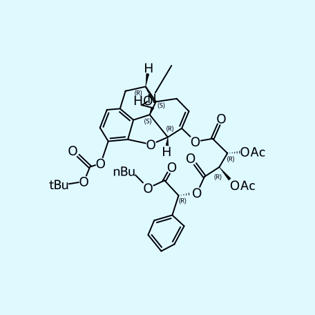 CCCCOC(=O)[C@H](OC(=O)[C@H](OC(C)=O)[C@@H](OC(C)=O)C(=O)OC1=CC[C@@]2(O)[C@H]3Cc4ccc(OC(=O)OC(C)(C)C)c5c4[C@@]2(CCN3C)[C@H]1O5)c1ccccc1